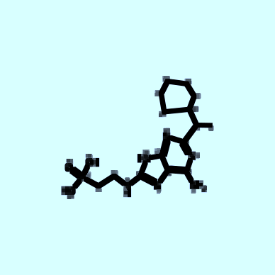 CC(c1nc(N)c2nc(NCCP(=O)(O)O)[nH]c2n1)C1CCCCC1